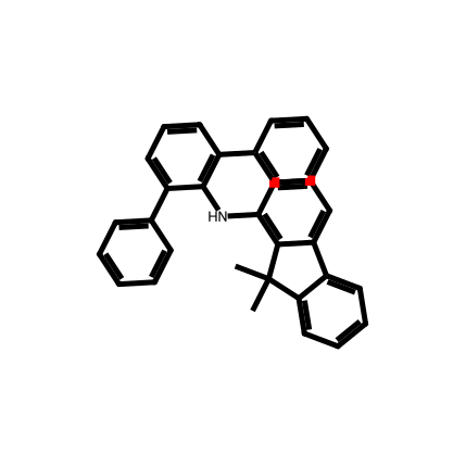 CC1(C)c2ccccc2-c2cccc(Nc3c(-c4ccccc4)cccc3-c3ccccc3)c21